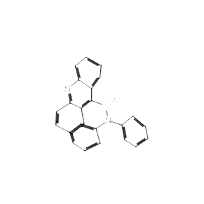 [O-][S+](c1c2ccccc2nc2ccccc12)N(c1ccccc1)c1ccccc1